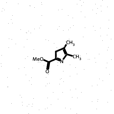 COC(=O)C1=NC(C)=C(C)C1